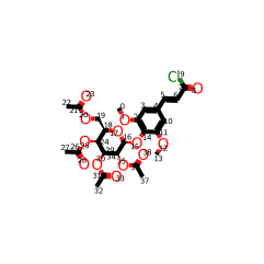 COc1cc(/C=C/C(=O)Cl)cc(OC)c1O[C@@H]1O[C@H](COC(C)=O)[C@H](OC(C)=O)[C@H](OC(C)=O)[C@H]1OC(C)=O